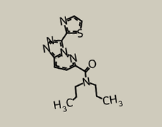 CCCN(CCC)C(=O)c1ccc2nnc(-c3nccs3)n2n1